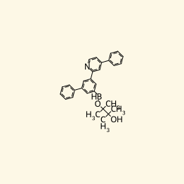 CC(C)(O)C(C)(C)OBc1cc(-c2ccccc2)cc(-c2cc(-c3ccccc3)ccn2)c1